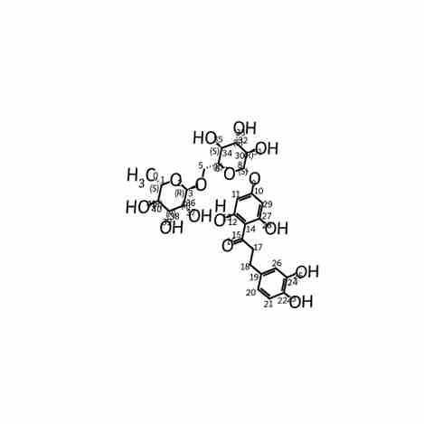 C[C@@H]1O[C@@H](OC[C@H]2O[C@@H](Oc3cc(O)c(C(=O)CCc4ccc(O)c(O)c4)c(O)c3)[C@H](O)[C@@H](O)[C@@H]2O)[C@H](O)[C@H](O)[C@H]1O